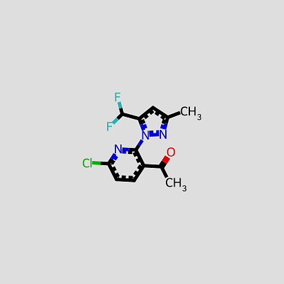 CC(=O)c1ccc(Cl)nc1-n1nc(C)cc1C(F)F